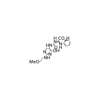 COCCNc1ncc(NC(=O)N[C@H](Nc2ccccc2)C(=O)O)c(O)n1